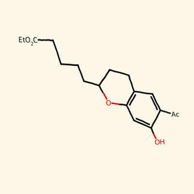 CCOC(=O)CCCCC1CCc2cc(C(C)=O)c(O)cc2O1